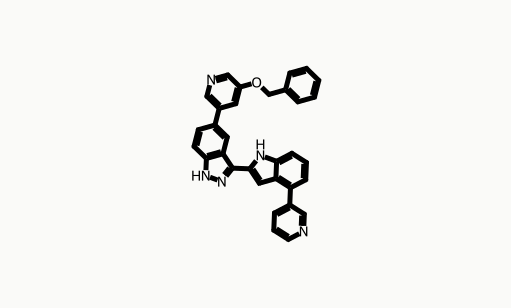 c1ccc(COc2cncc(-c3ccc4[nH]nc(-c5cc6c(-c7cccnc7)cccc6[nH]5)c4c3)c2)cc1